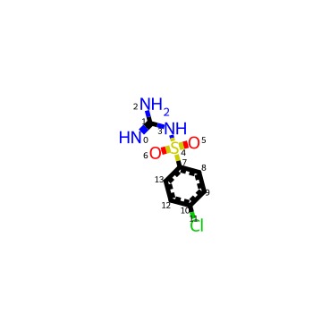 N=C(N)NS(=O)(=O)c1ccc(Cl)cc1